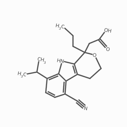 CCCC1(CC(=O)O)OCCc2c1[nH]c1c(C(C)C)ccc(C#N)c21